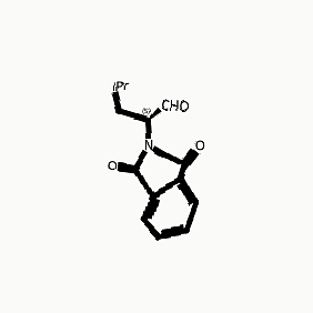 CC(C)C[C@@H](C=O)N1C(=O)c2ccccc2C1=O